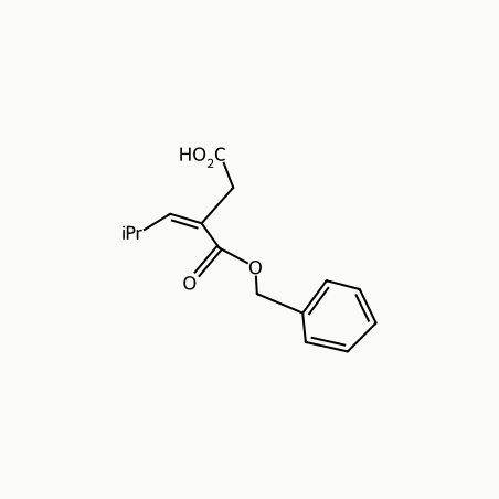 CC(C)/C=C(/CC(=O)O)C(=O)OCc1ccccc1